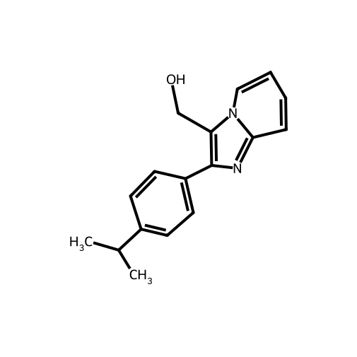 CC(C)c1ccc(-c2nc3ccccn3c2CO)cc1